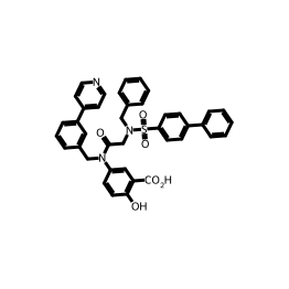 O=C(O)c1cc(N(Cc2cccc(-c3ccncc3)c2)C(=O)CN(Cc2ccccc2)S(=O)(=O)c2ccc(-c3ccccc3)cc2)ccc1O